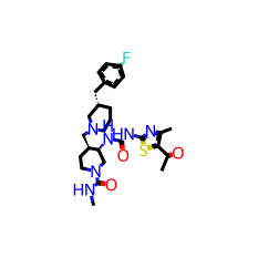 CNC(=O)N1CC[C@@H](CN2CCC[C@@H](Cc3ccc(F)cc3)C2)[C@@H](NC(=O)Nc2nc(C)c(C(C)=O)s2)C1